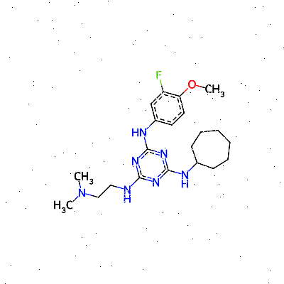 COc1ccc(Nc2nc(NCCN(C)C)nc(NC3CCCCCC3)n2)cc1F